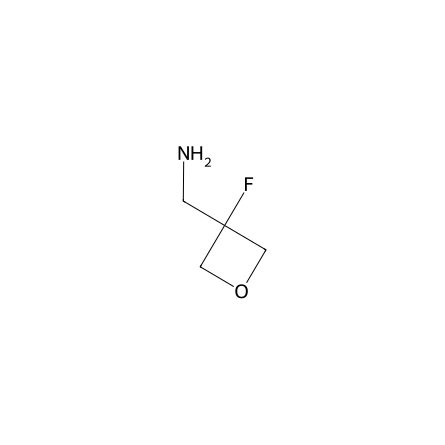 NCC1(F)COC1